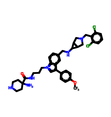 NC1(C(=O)NCCCn2cc(-c3ccc(OC(F)(F)F)cc3)c3cc(CNC4C5CN(Cc6c(Cl)cccc6Cl)CC54)ccc32)CCNCC1